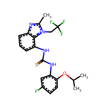 Cc1nc2cccc(NC(=S)Nc3cc(F)ccc3OC(C)C)c2n1CC(F)(F)F